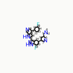 CN(C)Cc1cncc(-c2cc(F)c3[nH]nc(-c4cc5c(-c6cccc(F)c6)cncc5[nH]4)c3c2)c1